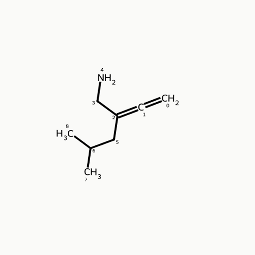 C=C=C(CN)CC(C)C